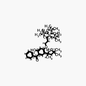 CC(C)(C)CC(C)(C)c1cc(C(=O)c2ccccc2)c(O)cc1OCCC[Si](O[Si](C)(C)C)(O[Si](C)(C)C)O[Si](C)(C)C